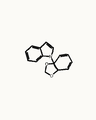 C1=CC2OCOC2(n2ccc3ccccc32)C=C1